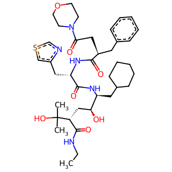 CCNC(=O)[C@@H](C[C@H](O)[C@H](CC1CCCCC1)NC(=O)[C@H](Cc1cscn1)NC(=O)[C@@H](CC(=O)N1CCOCC1)Cc1ccccc1)C(C)(C)O